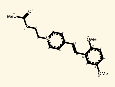 COC(=O)SCC[n+]1ccc(/C=C/c2cc(OC)ccc2OC)cc1